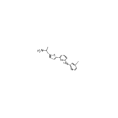 Cc1ccnc(Nc2cccc(-c3ccc(C(C)N)s3)n2)c1